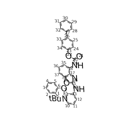 CC(C)(C)c1ccccc1Oc1ncccc1Nc1nc2c(NC(=O)Oc3ccc(-c4ccccc4)cc3)cccc2o1